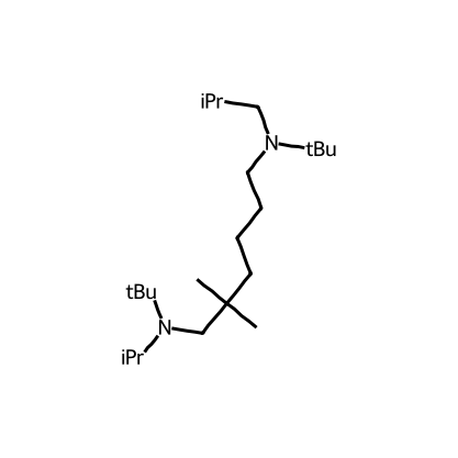 CC(C)CN(CCCCC(C)(C)CN(C(C)C)C(C)(C)C)C(C)(C)C